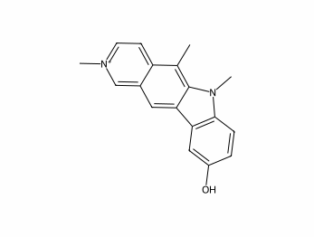 Cc1c2cc[n+](C)cc2cc2c3cc(O)ccc3n(C)c12